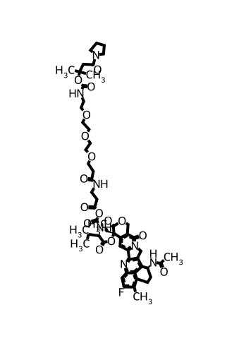 CC[C@@]1(OC(=O)[C@@H](NC(=O)OC(=O)CCNC(=O)CCOCCOCCOCCNC(=O)OC(C)(C)CC(=O)N2CCCC2)C(C)C)C(=O)OCc2c1cc1n(c2=O)Cc2c-1nc1cc(F)c(C)c3c1c2[C@@H](NC(C)=O)CC3